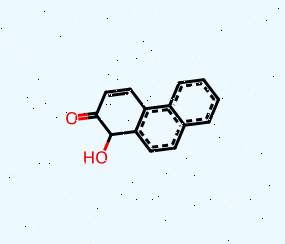 O=C1C=Cc2c(ccc3ccccc23)C1O